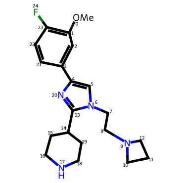 COc1cc(-c2cn(CCN3CCC3)c(C3CCNCC3)n2)ccc1F